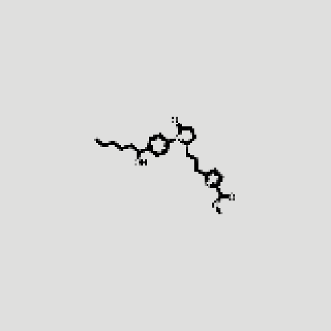 CCCCCC(O)c1ccc(N2C(=O)CC[C@H]2CCCc2ccc(C(=O)OC)s2)cc1